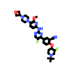 COc1nc(Nc2ncc(F)c(-c3ccc(OC4CCN(C(C)(C)C)CC4F)c(C#N)c3)n2)ccc1N1CCN(C2COC2)CC1